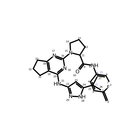 C=C(F)/C=C\C(=C/C)NC(=O)C1CCCN1c1nc2c(c(Nc3cc(C(C)C)[nH]n3)n1)CCC2